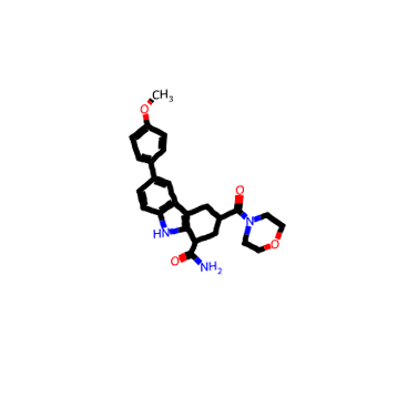 COc1ccc(-c2ccc3[nH]c4c(c3c2)CC(C(=O)N2CCOCC2)CC4C(N)=O)cc1